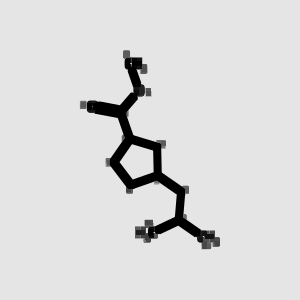 COC(=O)C1CCC(C[C](C)C)C1